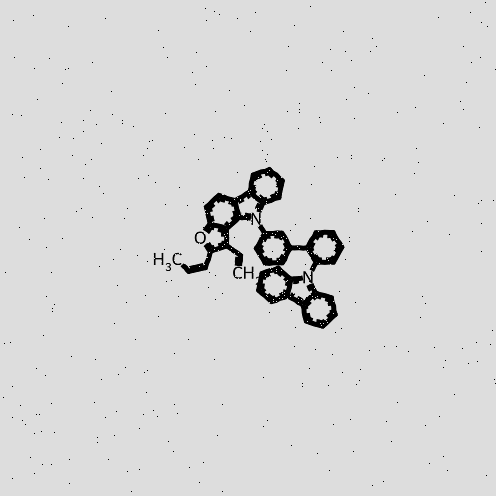 C=Cc1c(/C=C\C)oc2ccc3c4ccccc4n(-c4cccc(-c5ccccc5-n5c6ccccc6c6ccccc65)c4)c3c12